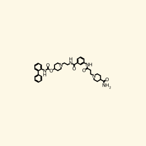 NC(=O)C1CCN(CCC(=O)Nc2cccc(C(=O)NCCN3CCC(OC(=O)Nc4ccccc4-c4ccccc4)CC3)c2)CC1